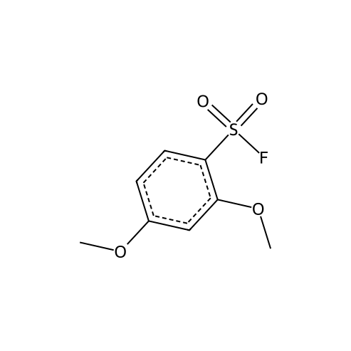 COc1ccc(S(=O)(=O)F)c(OC)c1